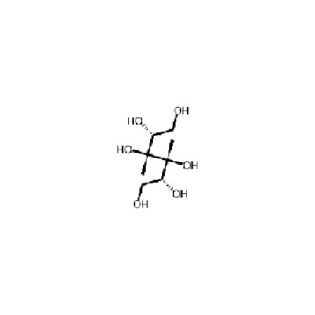 C[C@@](O)([C@H](O)CO)[C@](C)(O)[C@H](O)CO